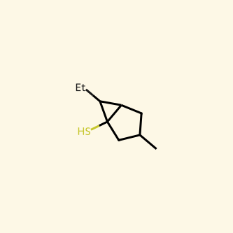 CCC1C2CC(C)CC12S